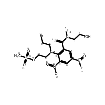 CN(CCO)C(=O)c1cc([N+](=O)[O-])cc([N+](=O)[O-])c1N(CCBr)CCOS(C)(=O)=O